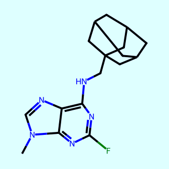 Cn1cnc2c(NCC34CC5CC(CC(C5)C3)C4)nc(F)nc21